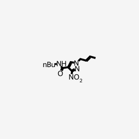 CC=CCn1cc(C(=O)NCCCC)c([N+](=O)[O-])n1